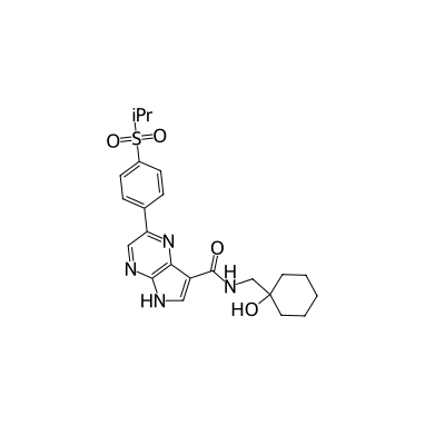 CC(C)S(=O)(=O)c1ccc(-c2cnc3[nH]cc(C(=O)NCC4(O)CCCCC4)c3n2)cc1